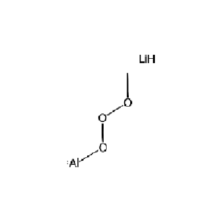 COO[O][Al].[LiH]